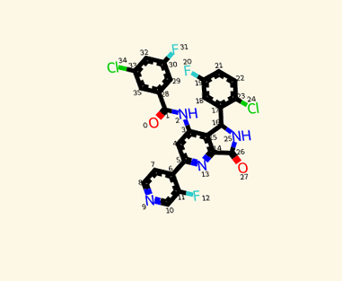 O=C(Nc1cc(-c2ccncc2F)nc2c1C(c1cc(F)ccc1Cl)NC2=O)c1cc(F)cc(Cl)c1